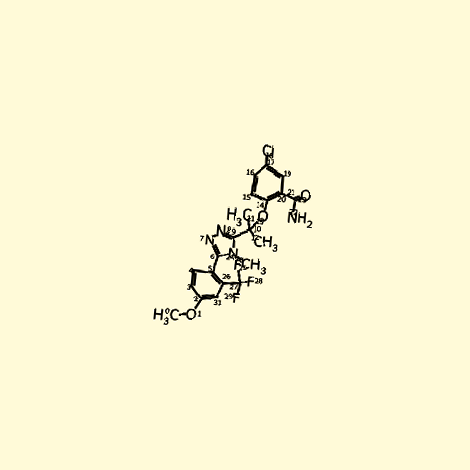 COc1ccc(-c2nnc(C(C)(C)Oc3ccc(Cl)cc3C(N)=O)n2C)c(C(F)(F)F)c1